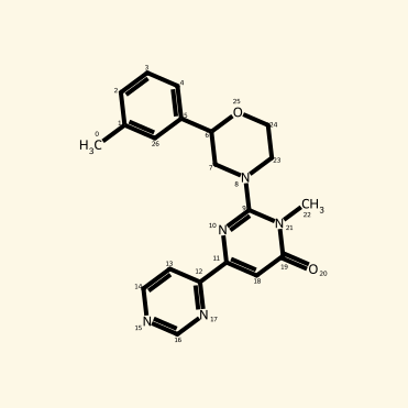 Cc1cccc(C2CN(c3nc(-c4ccncn4)cc(=O)n3C)CCO2)c1